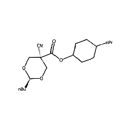 CCCC[C@H]1OC[C@@](C#N)(C(=O)OC2CCC(CCC)CC2)CO1